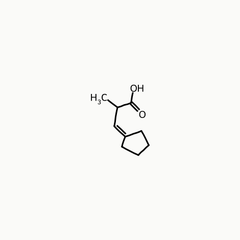 CC(C=C1CCCC1)C(=O)O